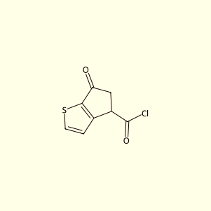 O=C1CC(C(=O)Cl)c2ccsc21